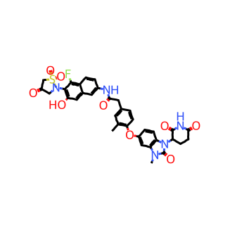 Cc1cc(CC(=O)Nc2ccc3c(F)c(N4CC(=O)CS4(=O)=O)c(O)cc3c2)ccc1Oc1ccc2c(c1)n(C)c(=O)n2C1CCC(=O)NC1=O